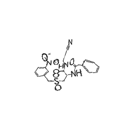 N#CCNC(=O)C(CS(=O)(=O)Cc1cccc([N+](=O)[O-])c1)NC(=O)c1ccccc1